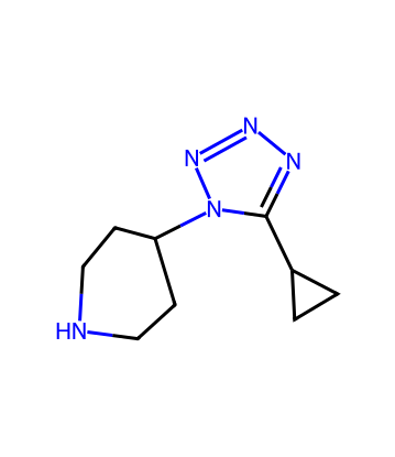 C1CC(n2nnnc2C2CC2)CCN1